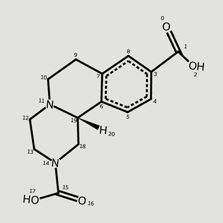 O=C(O)c1ccc2c(c1)CCN1CCN(C(=O)O)C[C@@H]21